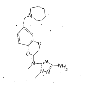 CN(c1nc(N)nn1C)C1COc2cc(CN3CCCCC3)ccc2O1